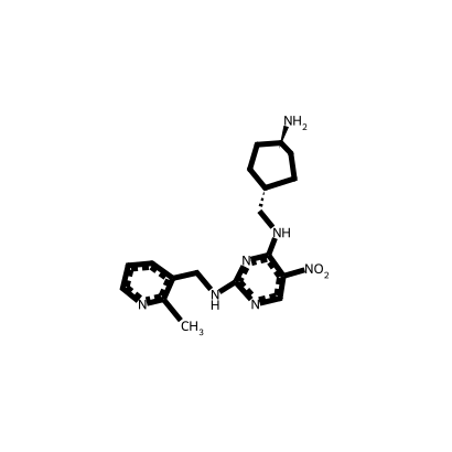 Cc1ncccc1CNc1ncc([N+](=O)[O-])c(NC[C@H]2CC[C@H](N)CC2)n1